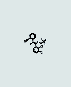 N#Cc1ccccc1C(I)=C(OCC(F)(F)F)c1cccc(Cl)c1Cl